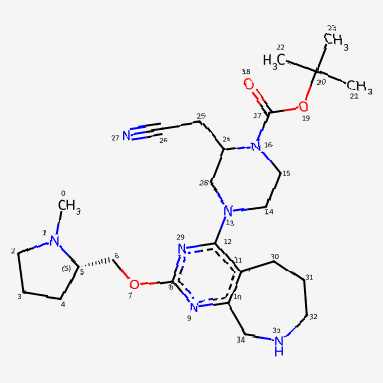 CN1CCC[C@H]1COc1nc2c(c(N3CCN(C(=O)OC(C)(C)C)C(CC#N)C3)n1)CCCNC2